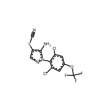 N#CSc1cnn(-c2c(Cl)cc(OC(F)(F)F)cc2Cl)c1N